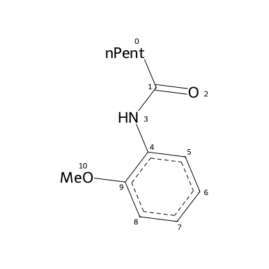 [CH2]CCCCC(=O)Nc1ccccc1OC